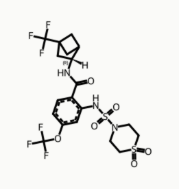 O=C(N[C@@H]1CC2(C(F)(F)F)CC1C2)c1ccc(OC(F)(F)F)cc1NS(=O)(=O)N1CCS(=O)(=O)CC1